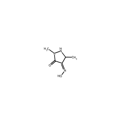 CC1NN(C)C(=O)C1=NO